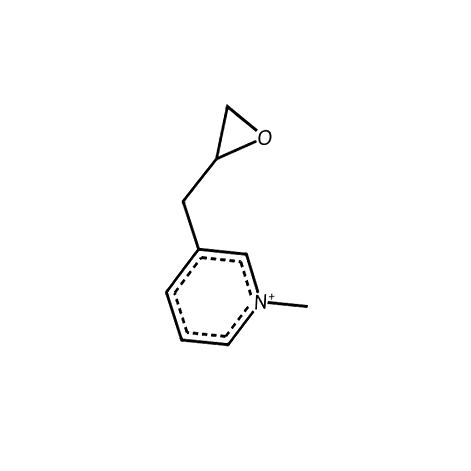 C[n+]1cccc(CC2CO2)c1